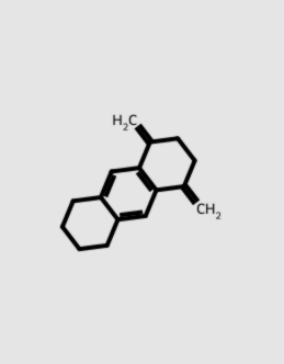 C=C1CCC(=C)c2cc3c(cc21)CCCC3